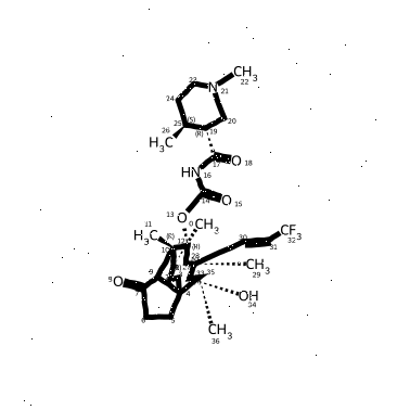 C[C@@H]1CCC23CCC(=O)C2[C@]1(C)[C@H](OC(=O)NC(=O)[C@H]1CN(C)CC[C@@H]1C)C[C@@](C)(C=CC(F)(F)F)[C@@H](O)[C@@H]3C